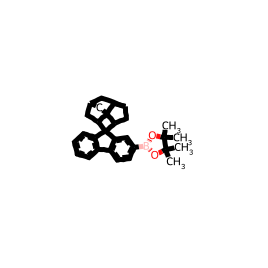 CC1(C)OB(c2ccc3c(c2)C2(c4ccccc4-3)C3CC4CC5CC2C3(C4)C5)OC1(C)C